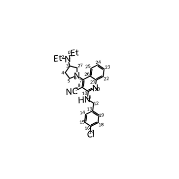 CCN(CC)C1CCN(c2c(C#N)c(NCc3ccc(Cl)cc3)nc3ccccc23)C1